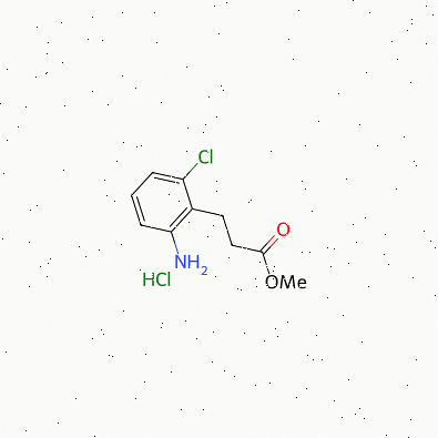 COC(=O)CCc1c(N)cccc1Cl.Cl